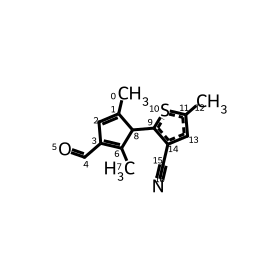 CC1=CC(C=O)=C(C)C1c1sc(C)cc1C#N